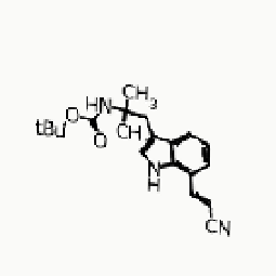 CC(C)(Cc1c[nH]c2c(/C=C/C#N)cccc12)NC(=O)OC(C)(C)C